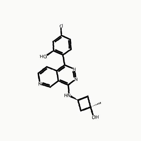 C[C@]1(O)C[C@@H](Nc2nnc(-c3ccc(Cl)cc3O)c3ccncc23)C1